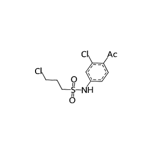 CC(=O)c1ccc(NS(=O)(=O)CCCCl)cc1Cl